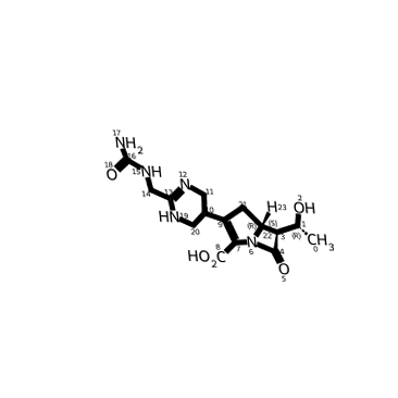 C[C@@H](O)[C@H]1C(=O)N2C(C(=O)O)=C(C3CN=C(CNC(N)=O)NC3)C[C@H]12